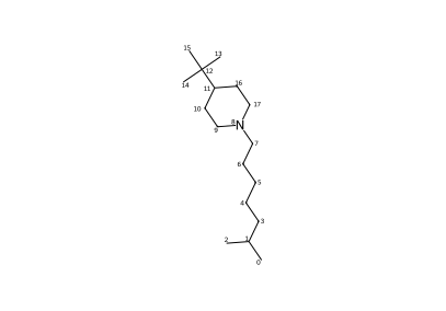 CC(C)CCCCCN1CCC(C(C)(C)C)CC1